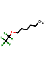 [CH2]CCCCCOC(F)(F)C(F)(F)F